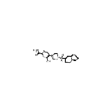 NC(=O)c1ncc(N2CCN(S(=O)(=O)c3ccc4ccccc4c3)CC2)c(O)n1